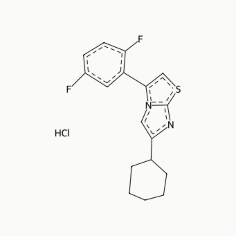 Cl.Fc1ccc(F)c(-c2csc3nc(C4CCCCC4)cn23)c1